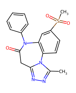 Cc1nnc2n1-c1ccc(S(C)(=O)=O)cc1N(c1ccccc1)C(=O)C2